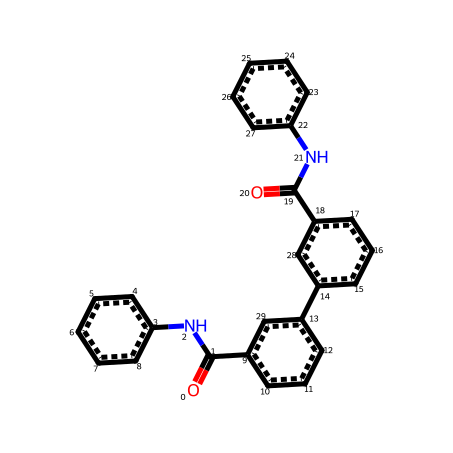 O=C(Nc1ccccc1)c1cccc(-c2cccc(C(=O)Nc3ccccc3)c2)c1